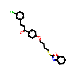 O=C(C=Cc1cccc(Cl)c1)c1ccc(OCCCCSc2nc3ccccc3o2)cc1